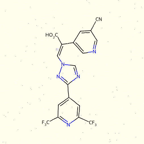 N#Cc1cncc(/C(=C\n2cnc(-c3cc(C(F)(F)F)nc(C(F)(F)F)c3)n2)C(=O)O)c1